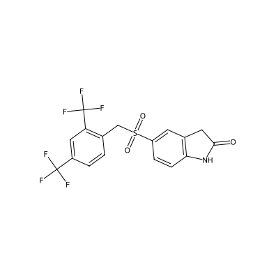 O=C1Cc2cc(S(=O)(=O)Cc3ccc(C(F)(F)F)cc3C(F)(F)F)ccc2N1